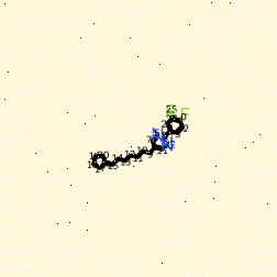 Fc1ccc(-c2ncc(CCCCCCCC3CCCC3)cn2)cc1F